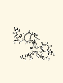 C=CS(=O)(=O)Cc1ccc2ncn(-c3cc(OC(C)c4ccccc4C(F)(F)F)c(C(N)=O)s3)c2c1